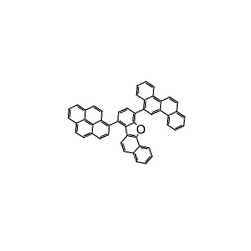 c1ccc2c(c1)ccc1c3ccccc3c(-c3ccc(-c4ccc5ccc6cccc7ccc4c5c67)c4c3oc3c5ccccc5ccc34)cc21